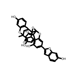 CC12CC(c3ccc(O)cc3O1)C13OC1(c1ccc(O)cc1O)Oc1cc(-c4cc5ccc(O)cc5o4)cc(O)c1C3C2=O